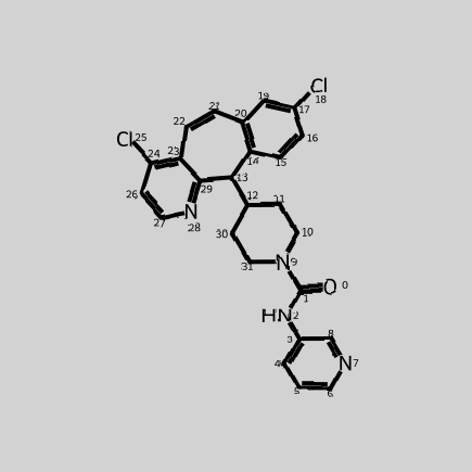 O=C(Nc1cccnc1)N1CCC(C2c3ccc(Cl)cc3C=Cc3c(Cl)ccnc32)CC1